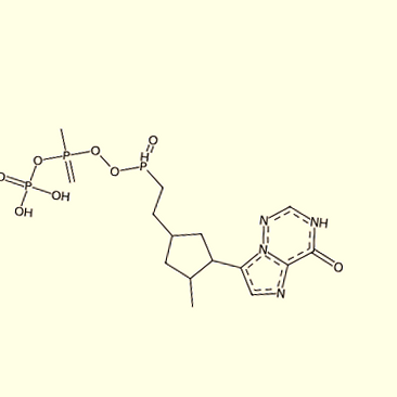 C=P(C)(OO[PH](=O)CCC1CC(C)C(c2cnc3c(=O)[nH]cnn23)C1)OP(=O)(O)O